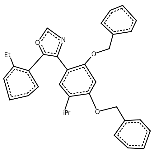 CCc1ccccc1-c1ocnc1-c1cc(C(C)C)c(OCc2ccccc2)cc1OCc1ccccc1